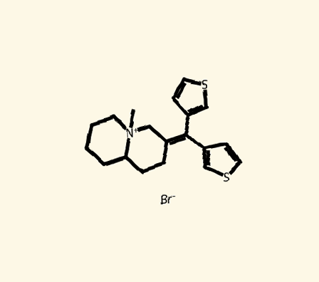 C[N+]12CCCCC1CCC(=C(c1ccsc1)c1ccsc1)C2.[Br-]